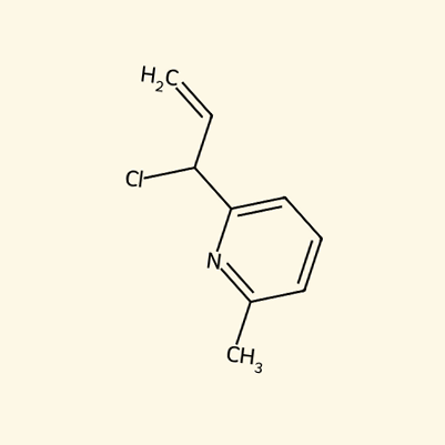 C=CC(Cl)c1cccc(C)n1